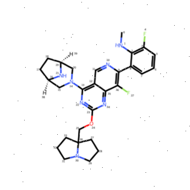 CNc1c(F)cccc1-c1ncc2c(N3C[C@H]4CC[C@@H](C3)N4)nc(OCC34CCCN3CCC4)nc2c1F